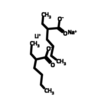 CCCCC(CC)C(=O)[O-].CCCCC(CC)C(=O)[O-].[Li+].[Na+]